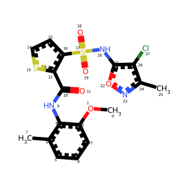 COc1cccc(C)c1NC(=O)c1sccc1S(=O)(=O)Nc1onc(C)c1Cl